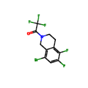 O=C(N1CCc2c(F)c(F)cc(Br)c2C1)C(F)(F)F